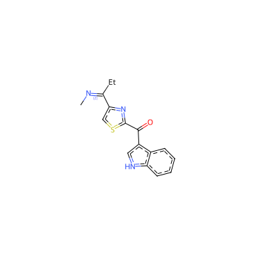 CC/C(=N/C)c1csc(C(=O)c2c[nH]c3ccccc23)n1